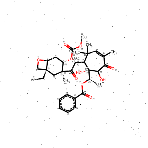 CC(=O)C[C@@]12COC1C[C@H](OC(=O)OC(C)(C)C)[C@@](C)(C(=O)[C@H](OC(C)=O)C1C(C)(C)C=C(C)C(=O)C(O)[C@@]1(O)[C@H](C)OC(=O)c1ccccc1)C2